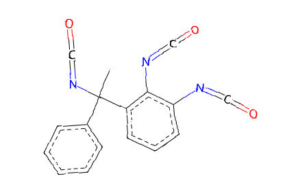 CC(N=C=O)(c1ccccc1)c1cccc(N=C=O)c1N=C=O